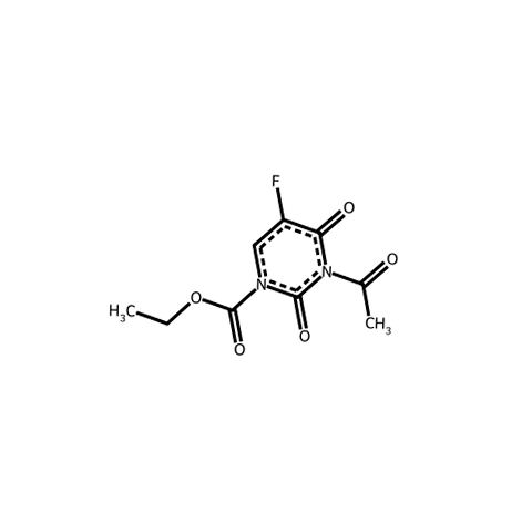 CCOC(=O)n1cc(F)c(=O)n(C(C)=O)c1=O